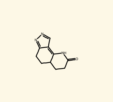 O=C1CCC2CCC3=NN=CC3=C2N1